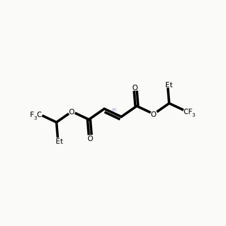 CCC(OC(=O)/C=C/C(=O)OC(CC)C(F)(F)F)C(F)(F)F